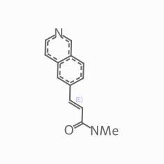 CNC(=O)/C=C/c1ccc2cnccc2c1